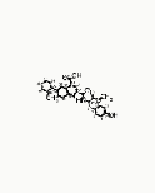 COC(=O)[C@H](Cc1ccc(O)cc1)NC(=O)c1cc(C(=O)O)c2cc(-c3ccccc3C)ccc2n1